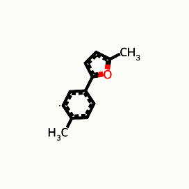 Cc1[c]cc(-c2ccc(C)o2)cc1